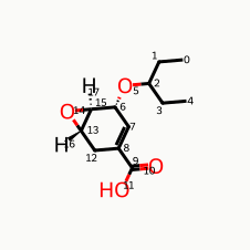 CCC(CC)O[C@@H]1C=C(C(=O)O)C[C@@H]2O[C@H]21